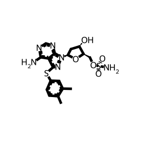 Cc1ccc(Sc2nn([C@H]3C[C@H](O)[C@@H](COS(N)(=O)=O)O3)c3ncnc(N)c23)cc1C